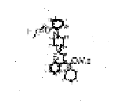 COC(C1CCCCC1)C(CCN1CCN(c2ccccc2OCC(F)(F)F)CC1)c1ccccc1F